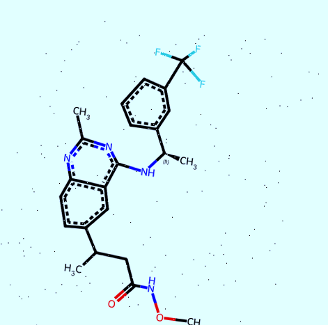 CONC(=O)CC(C)c1ccc2nc(C)nc(N[C@H](C)c3cccc(C(F)(F)F)c3)c2c1